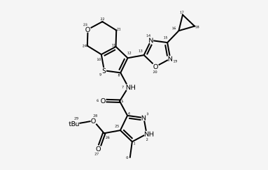 Cc1[nH]nc(C(=O)Nc2sc3c(c2-c2nc(C4CC4)no2)CCOC3)c1C(=O)OC(C)(C)C